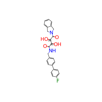 O=C(NCc1ccc(-c2ccc(F)cc2)cc1)[C@H](O)[C@@H](O)C(=O)N1Cc2ccccc2C1